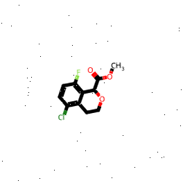 COC(=O)C1OCCc2c(Cl)ccc(F)c21